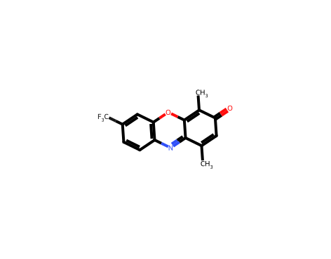 Cc1cc(=O)c(C)c2oc3cc(C(F)(F)F)ccc3nc1-2